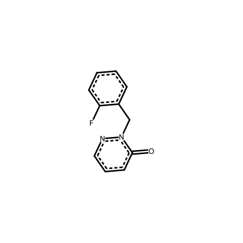 O=c1cccnn1Cc1ccccc1F